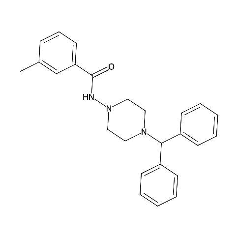 Cc1cccc(C(=O)NN2CCN(C(c3ccccc3)c3ccccc3)CC2)c1